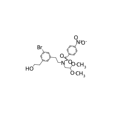 COC(CN(CCc1cc(Br)cc(CCO)c1)S(=O)(=O)c1ccc([N+](=O)[O-])cc1)OC